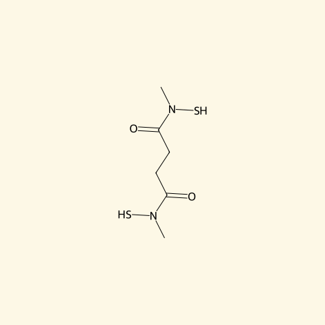 CN(S)C(=O)CCC(=O)N(C)S